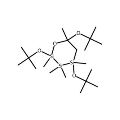 CC(C)(C)OC1(C)C[Si](C)(OC(C)(C)C)[Si](C)(C)[Si](C)(OC(C)(C)C)O1